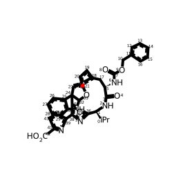 CC(C)[C@@H]1NC(=O)[C@@H](NC(=O)OCc2ccccc2)Cc2ccc3c(c2)C2(c4ccccc4NC2O3)c2oc1nc2-c1nc(C(=O)O)co1